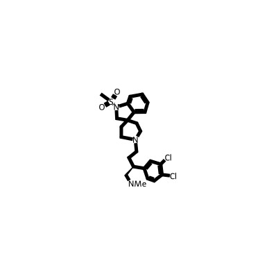 CNC[C@@H](CCN1CCC2(CC1)CN(S(C)(=O)=O)c1ccccc12)c1ccc(Cl)c(Cl)c1